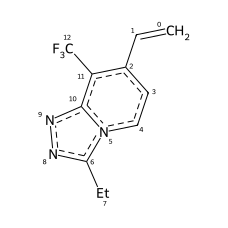 C=Cc1ccn2c(CC)nnc2c1C(F)(F)F